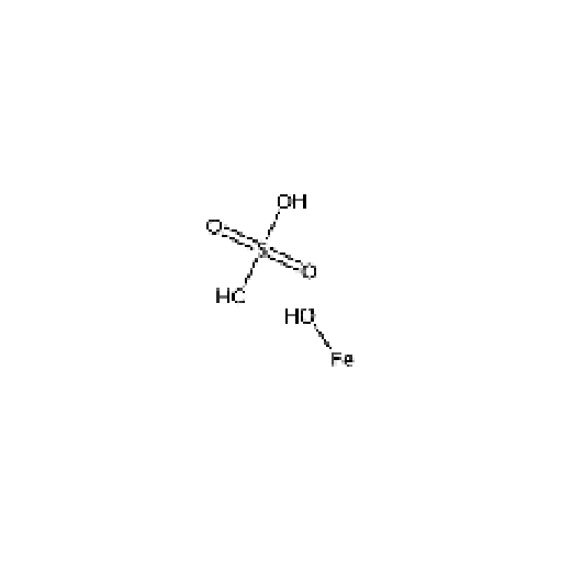 O=S(=O)(O)O.[OH][Fe]